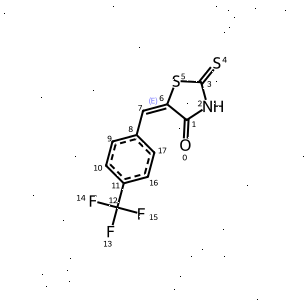 O=C1NC(=S)S/C1=C/c1ccc(C(F)(F)F)cc1